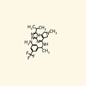 CC(C)c1nnc2nc(NC(C)c3cc(N)cc(C(F)(F)F)c3)c3c(n12)CN(C)C3